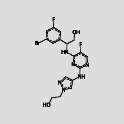 OCCn1cc(Nc2ncc(F)c(NC(CO)c3cc(F)cc(Br)c3)n2)cn1